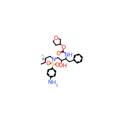 CC[C@H](C)CN(CC(O)C(Cc1ccccc1)NC(=O)OC1CCOC1)S(=O)(=O)c1ccc(N)cc1